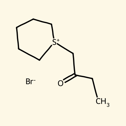 CCC(=O)C[S+]1CCCCC1.[Br-]